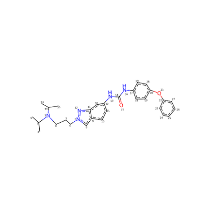 CC(C)N(CCCn1cc2ccc(NC(=O)Nc3ccc(Oc4ccccc4)cc3)cc2n1)C(C)C